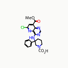 COC(=O)c1cc(Cl)nc2c(NC3(c4ccccc4)CCCN(C(=O)O)C3)ncnc12